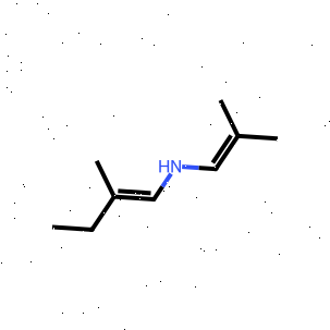 CC/C(C)=C/NC=C(C)C